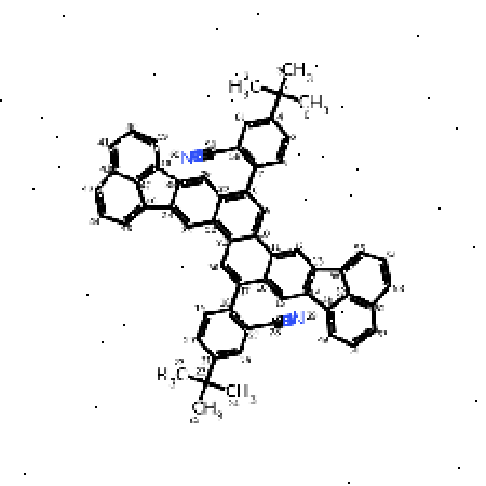 CC(C)(C)c1ccc(-c2cc3c4cc5c(cc4c(-c4ccc(C(C)(C)C)cc4C#N)cc3c3cc4c(cc23)-c2cccc3cccc-4c23)-c2cccc3cccc-5c23)c(C#N)c1